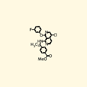 COC(=O)c1ccc([C@H](C)Nc2nccc3c(Cl)cnc(Oc4cccc(F)c4)c23)cc1